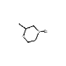 CCN1CC[N]C(C)C1